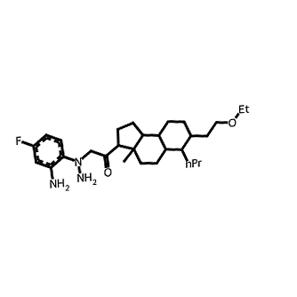 CCCC1C(CCOCC)CCC2C1CCC1(C)C(C(=O)CN(N)c3ccc(F)cc3N)CCC21